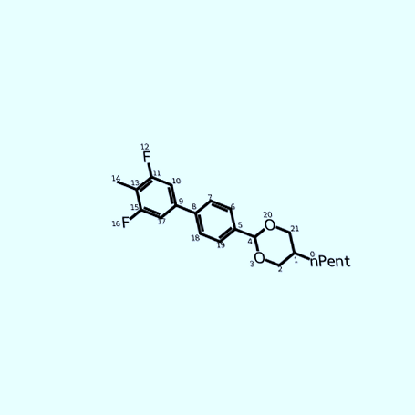 CCCCCC1COC(c2ccc(-c3cc(F)c(C)c(F)c3)cc2)OC1